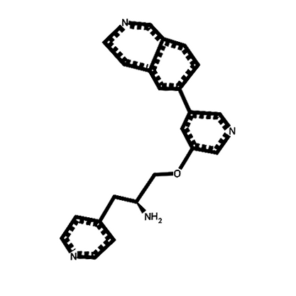 N[C@H](COc1cncc(-c2ccc3cnccc3c2)c1)Cc1ccncc1